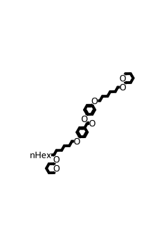 CCCCCCC(CCCCCOc1ccc(C(=O)Oc2ccc(OCCCCCCOC3CCCCO3)cc2)cc1)OC1CCCCO1